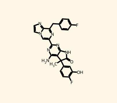 CC1(c2ccc(F)c(O)c2)C(=O)Nc2nc(-c3cn4ccnc4c(Cc4ccc(F)cc4)n3)nc(N)c21